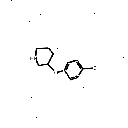 Clc1ccc(OC2CCCNC2)cc1